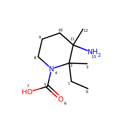 CCC1(C)N(C(=O)O)CCCC1(C)N